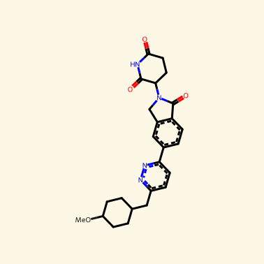 COC1CCC(Cc2ccc(-c3ccc4c(c3)CN(C3CCC(=O)NC3=O)C4=O)nn2)CC1